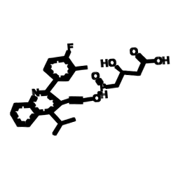 Cc1cc(-c2nc3ccccc3c(C(C)C)c2C#CO[PH](=O)C[C@@H](O)CC(=O)O)ccc1F